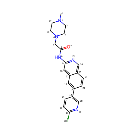 CN1CCN(CC(=O)Nc2cc3cc(-c4ccc(F)nc4)ccc3cn2)CC1